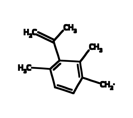 [CH2]c1ccc(C)c(C(=C)C)c1C